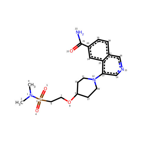 CN(C)S(=O)(=O)CCOC1CCN(c2cncc3ccc(C(N)=O)cc23)CC1